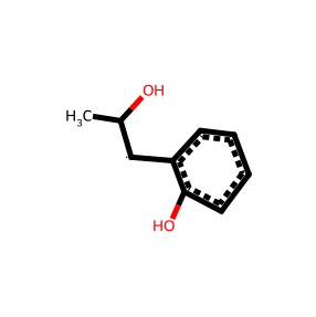 CC(O)[CH]c1ccccc1O